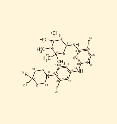 CN1C(C)(C)CC(Nc2nc(Nc3ccc(N4CCC(F)(F)CC4)c(F)c3)ncc2F)CC1(C)C